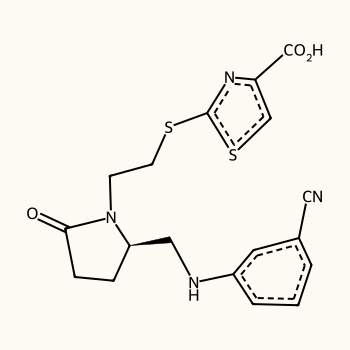 N#Cc1cccc(NC[C@H]2CCC(=O)N2CCSc2nc(C(=O)O)cs2)c1